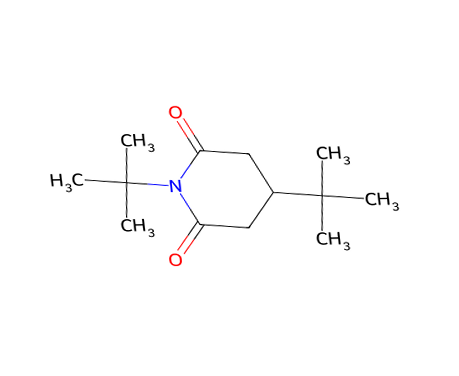 CC(C)(C)C1CC(=O)N(C(C)(C)C)C(=O)C1